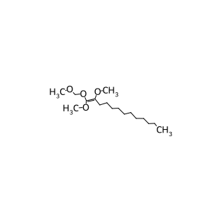 CCCCCCCCCCC/C(OC)=C(\OC)OCOC